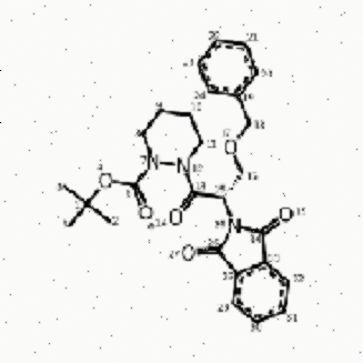 CC(C)(C)OC(=O)N1CCCCN1C(=O)[C@H](COCc1ccccc1)N1C(=O)c2ccccc2C1=O